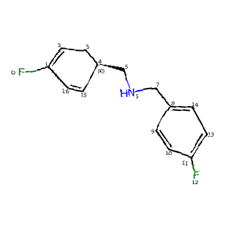 FC1=CC[C@@H](CNCc2ccc(F)cc2)C=C1